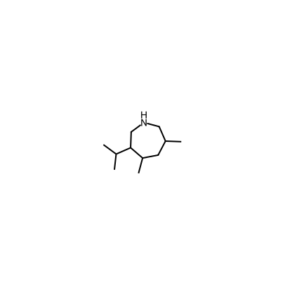 CC1CNCC(C(C)C)C(C)C1